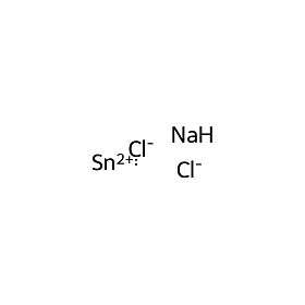 [Cl-].[Cl-].[NaH].[Sn+2]